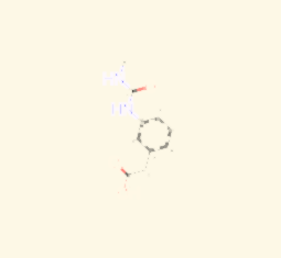 CNC(=O)Nc1cccc(CC(=O)O)c1